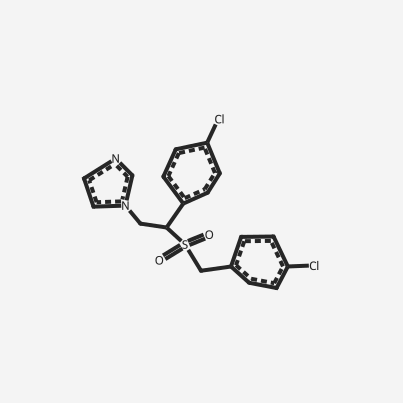 O=S(=O)(Cc1ccc(Cl)cc1)C(Cn1ccnc1)c1ccc(Cl)cc1